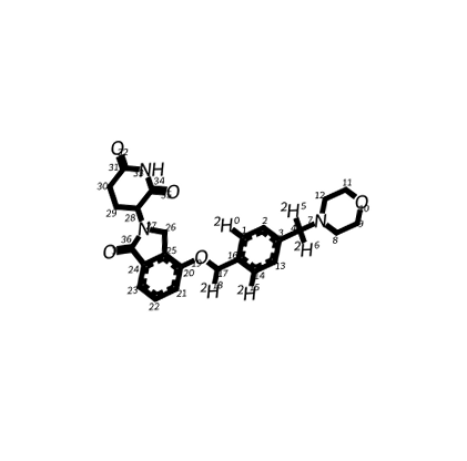 [2H]c1cc(C([2H])([2H])N2CCOCC2)cc([2H])c1C([2H])Oc1cccc2c1CN(C1CCC(=O)NC1=O)C2=O